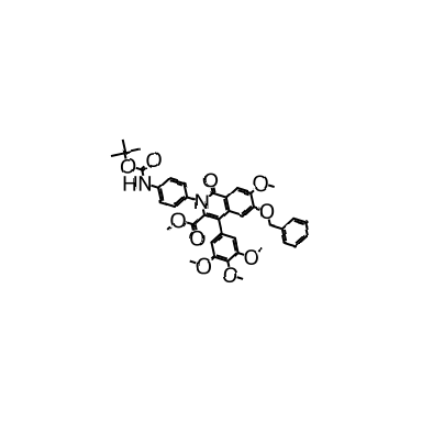 COC(=O)c1c(-c2cc(OC)c(OC)c(OC)c2)c2cc(OCc3ccccc3)c(OC)cc2c(=O)n1-c1ccc(NC(=O)OC(C)(C)C)cc1